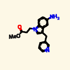 COC(=O)CCn1cc(Cc2cccnc2)c2cc(N)ccc21